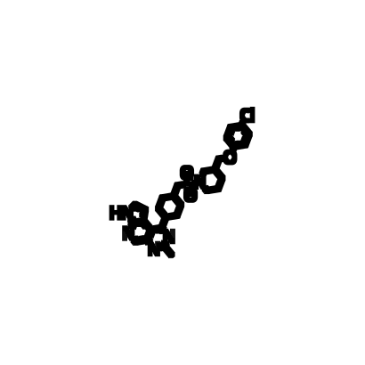 Cc1nc(C2CCC(CS(=O)(=O)N3CCCC(COc4ccc(Cl)cc4)C3)CC2)c2c(cnc3[nH]ccc32)n1